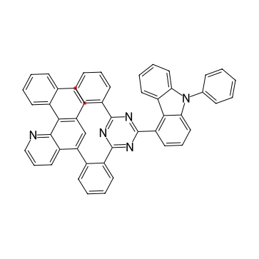 c1ccc(-c2nc(-c3ccccc3-c3cc4ccc5ccccc5c4c4ncccc34)nc(-c3cccc4c3c3ccccc3n4-c3ccccc3)n2)cc1